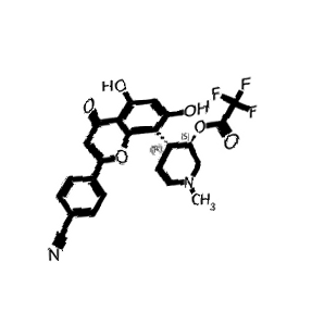 CN1CC[C@H](c2c(O)cc(O)c3c(=O)cc(-c4ccc(C#N)cc4)oc23)[C@H](OC(=O)C(F)(F)F)C1